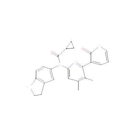 Cc1cc(N(C(=O)C2CC2)c2ccc3c(c2)CCO3)nc(-c2ccc[nH]c2=O)c1C